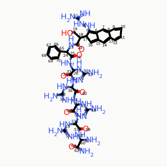 N=C(N)NNC1=c2cc3ccccc3cc2=CC1C(CO)C(=O)NC(C(=O)NC(NC(=N)N)C(=O)NC(NC(=N)N)C(=O)NC(NC(=N)N)C(=O)NC(NC(=N)N)C(=O)NC(N)C(N)=O)c1ccccc1